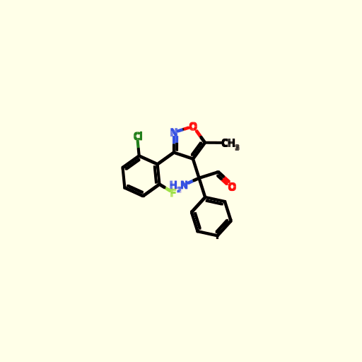 Cc1onc(-c2c(F)cccc2Cl)c1C(N)(C=O)c1cc[c]cc1